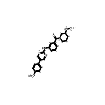 COc1ccc(-c2cnc(Nc3cccc(C(=O)N4CCCC(NC=O)C4)c3)nc2)cc1